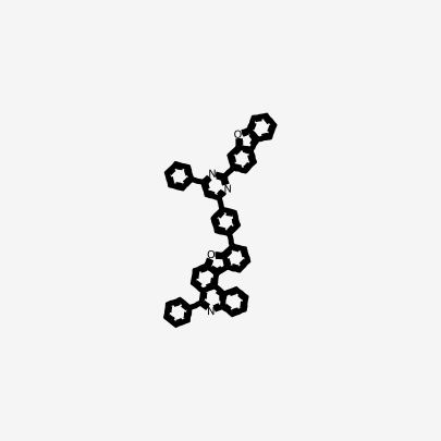 c1ccc(-c2cc(-c3ccc(-c4cccc5c4oc4ccc6c(-c7ccccc7)nc7ccccc7c6c45)cc3)nc(-c3ccc4c(c3)oc3ccccc34)n2)cc1